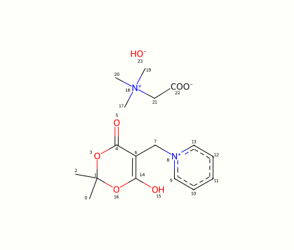 CC1(C)OC(=O)C(C[n+]2ccccc2)=C(O)O1.C[N+](C)(C)CC(=O)[O-].[OH-]